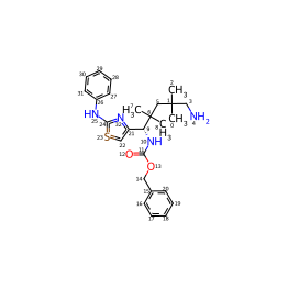 CC(C)(CN)CC(C)(C)[C@H](NC(=O)OCc1ccccc1)c1csc(Nc2ccccc2)n1